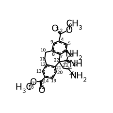 COC(=O)c1ccc2c(c1)CCc1cc(C(=O)OC)ccc1C2(CCN)C(=N)N